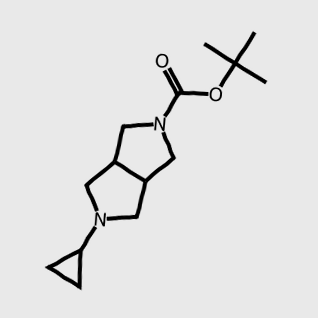 CC(C)(C)OC(=O)N1CC2CN(C3CC3)CC2C1